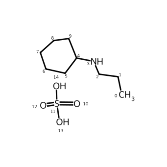 CCCNC1CCCCC1.O=S(=O)(O)O